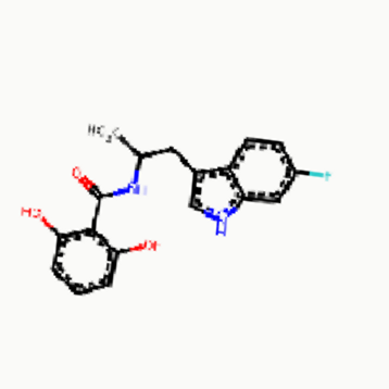 O=C(NC(Cc1c[nH]c2cc(F)ccc12)C(=O)O)c1c(O)cccc1O